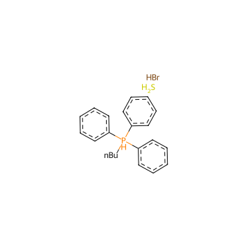 Br.CCCC[PH](c1ccccc1)(c1ccccc1)c1ccccc1.S